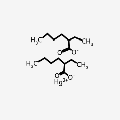 CCCCC(CC)C(=O)[O-].CCCCC(CC)C(=O)[O-].[Hg+2]